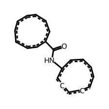 O=C(Nc1ccccccccc1)c1ccccccccc1